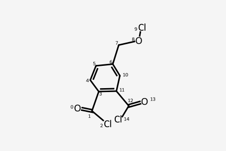 O=C(Cl)c1ccc(COCl)cc1C(=O)Cl